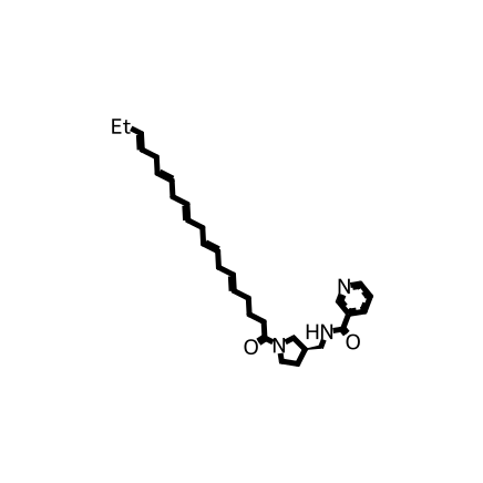 CCC=CCC=CCC=CCC=CCC=CCCCC(=O)N1CC[C@H](CNC(=O)c2cccnc2)C1